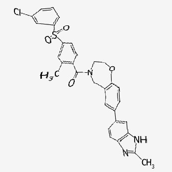 Cc1nc2ccc(-c3ccc4c(c3)CN(C(=O)c3ccc(S(=O)(=O)c5cccc(Cl)c5)cc3C)CCO4)cc2[nH]1